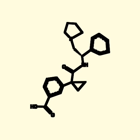 O=C(O)c1cccc(C2(C(=O)N[C@H](CN3CCCC3)c3ccccc3)CC2)c1